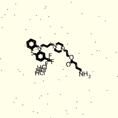 Cl.Cl.Cl.NCCCC(=O)OCCN1CCN(CCCN2c3ccccc3Sc3ccc(C(F)(F)F)cc32)CC1